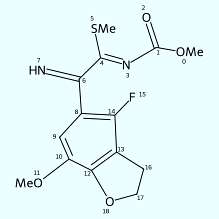 COC(=O)N=C(SC)C(=N)c1cc(OC)c2c(c1F)CCO2